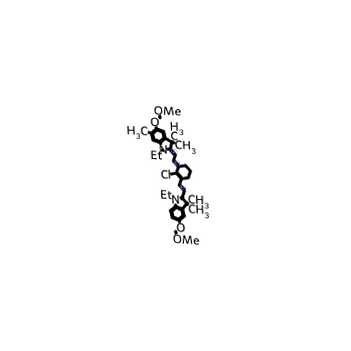 CCN1/C(=C\C=C2/CCCC(/C=C/C3=[N+](CC)c4ccc(OCOC)cc4C3(C)C)=C2Cl)C(C)(C)c2cc(OCOC)c(C)cc21